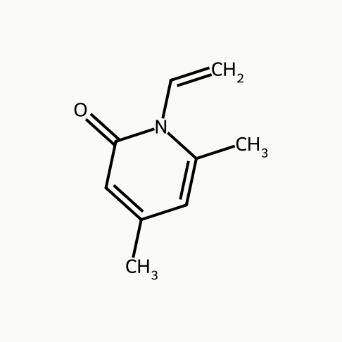 C=Cn1c(C)cc(C)cc1=O